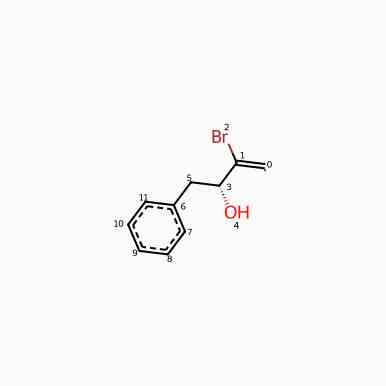 [CH]=C(Br)[C@H](O)Cc1ccccc1